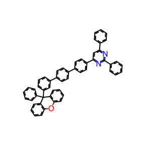 c1ccc(-c2cc(-c3ccc(-c4ccc(-c5cccc(C6(c7ccccc7)c7ccccc7Oc7ccccc76)c5)cc4)cc3)nc(-c3ccccc3)n2)cc1